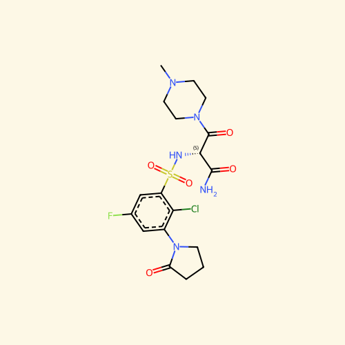 CN1CCN(C(=O)[C@@H](NS(=O)(=O)c2cc(F)cc(N3CCCC3=O)c2Cl)C(N)=O)CC1